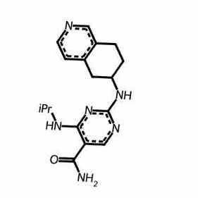 CC(C)Nc1nc(NC2CCc3cnccc3C2)ncc1C(N)=O